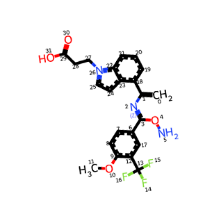 C=C(/N=C(\ON)c1ccc(OC)c(C(F)(F)F)c1)c1cccc2c1ccn2CCC(=O)O